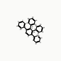 c1ccc(-c2ccc(-c3ccccn3)c(-c3ccccc3)c2-c2ccccc2)cc1